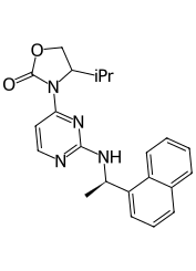 CC(C)C1COC(=O)N1c1ccnc(N[C@H](C)c2cccc3ccccc23)n1